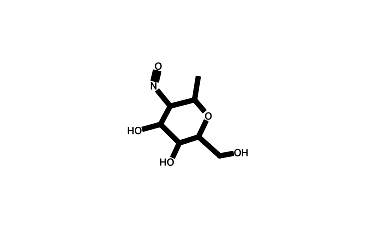 CC1OC(CO)C(O)C(O)C1N=O